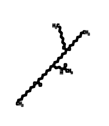 CCCCCCCCCOC(=O)CCCCCCCN(CCCCCCC(OCCCCCCCC)OCCCCCCCC)CCNC(C)=O